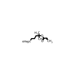 C=CC(=O)OC(C)(C)CCCCCCCCCC